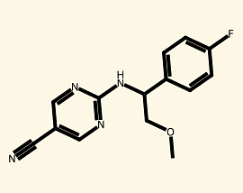 COCC(Nc1ncc(C#N)cn1)c1ccc(F)cc1